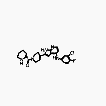 O=C([C@H]1CCCCN1)N1CC=C(c2cc3c(Nc4ccc(F)c(Cl)c4)ccnc3[nH]2)CC1